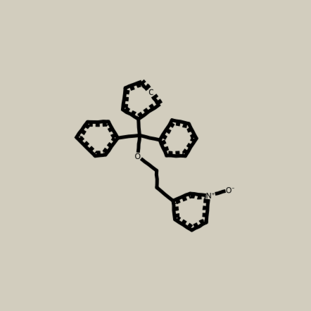 [O-][n+]1cccc(CCOC(c2ccccc2)(c2ccccc2)c2ccccc2)c1